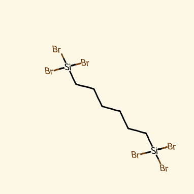 Br[Si](Br)(Br)CCCCCC[Si](Br)(Br)Br